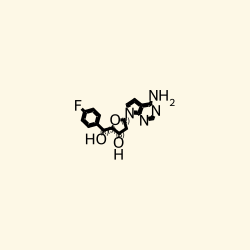 Nc1ncnc2c1ccn2[C@H]1C[C@H](O)[C@@H]([C@H](O)c2ccc(F)cc2)O1